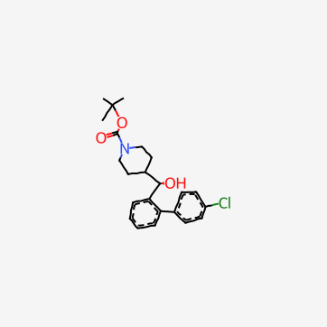 CC(C)(C)OC(=O)N1CCC([C@@H](O)c2ccccc2-c2ccc(Cl)cc2)CC1